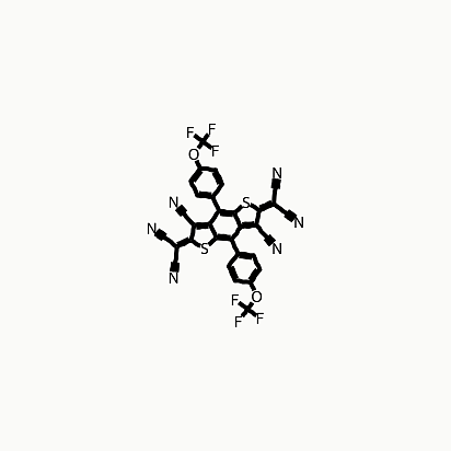 N#CC(C#N)=c1sc2c(-c3ccc(OC(F)(F)F)cc3)c3c(C#N)c(=C(C#N)C#N)sc3c(-c3ccc(OC(F)(F)F)cc3)c2c1C#N